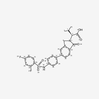 CC(C)[C@@H](C(=O)O)N1Cc2cc(-c3ccc(NS(=O)(=O)c4ccc(F)cc4F)cc3)ccc2C1=O